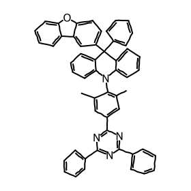 Cc1cc(-c2nc(-c3ccccc3)nc(-c3ccccc3)n2)cc(C)c1N1c2ccccc2C(c2ccccc2)(c2ccc3oc4ccccc4c3c2)c2ccccc21